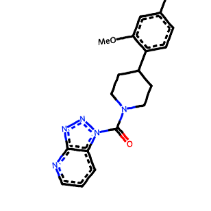 CCc1ccc(C2CCN(C(=O)n3nnc4ncccc43)CC2)c(OC)c1